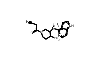 CC1CCN(C(=O)CC#N)CC1N(C)c1nccc2[nH]ccc12